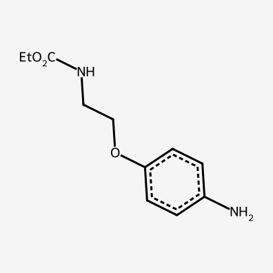 CCOC(=O)NCCOc1ccc(N)cc1